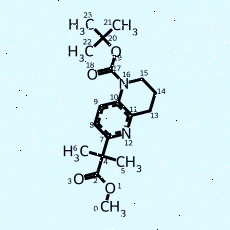 COC(=O)C(C)(C)c1ccc2c(n1)CCCN2C(=O)OC(C)(C)C